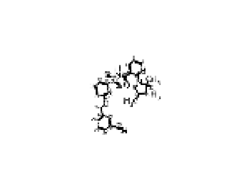 CC1CN(c2ncccc2C(=O)NS(=O)(=O)c2cccc(OCc3cccc(C#N)c3)n2)C(C)(C)C1